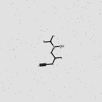 C#CCC(C)CN(O)C(C)C